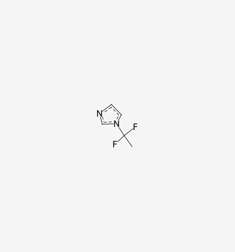 CC(F)(F)n1ccnc1